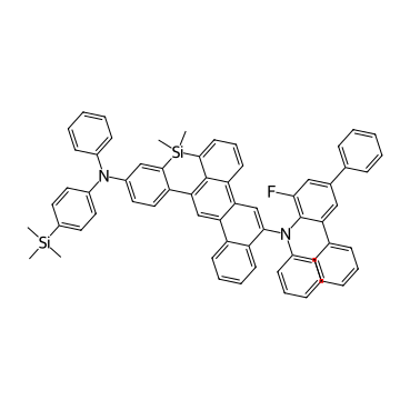 C[Si](C)(C)c1ccc(N(c2ccccc2)c2ccc3c(c2)[Si](C)(C)c2cccc4c2c-3cc2c3ccccc3c(N(c3ccccc3)c3c(F)cc(-c5ccccc5)cc3-c3ccccc3)cc42)cc1